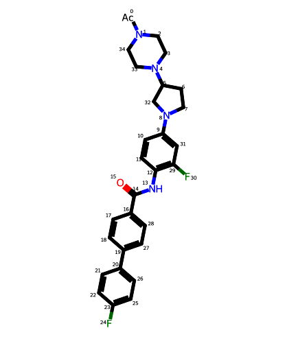 CC(=O)N1CCN(C2CCN(c3ccc(NC(=O)c4ccc(-c5ccc(F)cc5)cc4)c(F)c3)C2)CC1